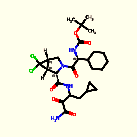 CC(C)(C)OC(=O)N[C@H](C(=O)N1C[C@@H]2[C@H]([C@H]1C(=O)NC(CC1CC1)C(=O)C(N)=O)C2(Cl)Cl)C1CCCCC1